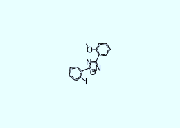 COc1ccccc1-c1noc(-c2ccccc2I)n1